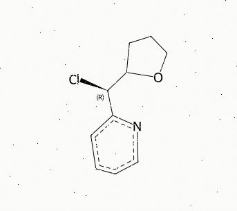 Cl[C@H](c1ccccn1)C1CCCO1